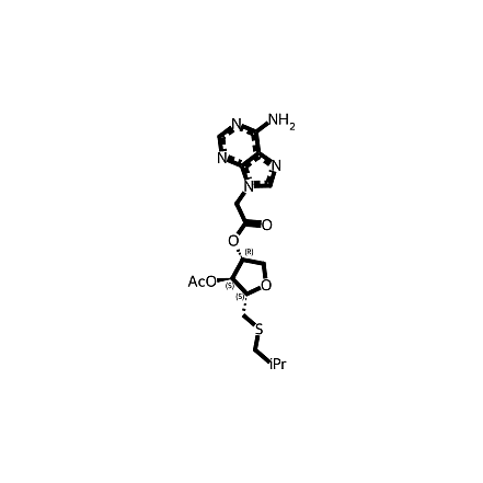 CC(=O)O[C@@H]1[C@@H](CSCC(C)C)OC[C@H]1OC(=O)Cn1cnc2c(N)ncnc21